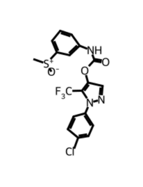 C[S+]([O-])c1cccc(NC(=O)Oc2cnn(-c3ccc(Cl)cc3)c2C(F)(F)F)c1